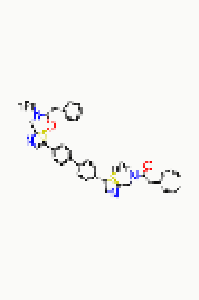 CCCN(Cc1ncc(-c2ccc(-c3ccc(-c4cnc(CN(CCC)C(=O)Cc5ccccc5)s4)cc3)cc2)s1)C(=O)CC1=CC=CCC=C1